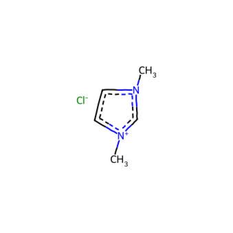 Cn1cc[n+](C)c1.[Cl-]